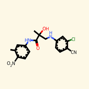 Cc1cc(NC(=O)C(C)(O)CNc2ccc(C#N)c(Cl)c2)ccc1[N+](=O)[O-]